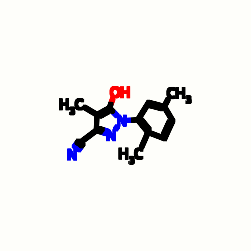 Cc1ccc(C)c(-n2nc(C#N)c(C)c2O)c1